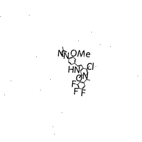 COc1cc(-c2cc3c(Cl)cn(C(C)c4cc(F)c(F)c(F)c4)c(=O)c3[nH]2)ccc1-n1cnc(C)c1